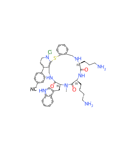 CN1C(=O)[C@H](CCCCN)NC(=O)[C@H](CCCN)NCc2ccccc2SC2=C(CNC(=O)[C@@H]1Cc1c[nH]c3ccccc13)C(c1ccc(C#N)cc1)=CCN2Cl